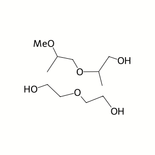 COC(C)COC(C)CO.OCCOCCO